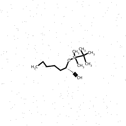 C#C[C@H](CC[CH]CC)O[Si](C)(C)C(C)(C)C